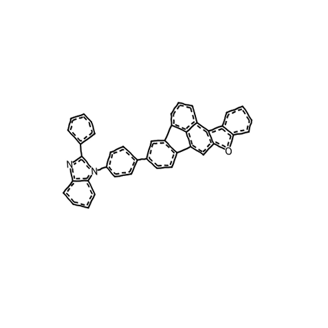 c1ccc(-c2nc3ccccc3n2-c2ccc(-c3ccc4c(c3)-c3cccc5c3c-4cc3oc4ccccc4c35)cc2)cc1